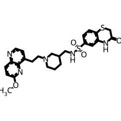 COc1ccc2nccc(CCN3CCCC(CNS(=O)(=O)c4ccc5c(c4)NC(=O)CS5)C3)c2n1